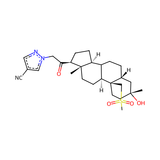 C[C@@]1(O)CC[C@@]2(CS(C)(=O)=O)[C@H](CCC3[C@@H]4CC[C@H](C(=O)Cn5cc(C#N)cn5)[C@@]4(C)CC[C@@H]32)C1